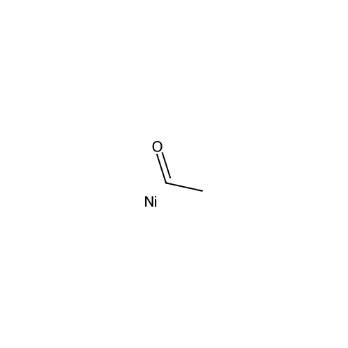 CC=O.[Ni]